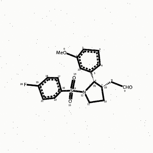 COc1cccc([C@@H]2[C@H](CC=O)CCN2S(=O)(=O)c2ccc(F)cc2)c1